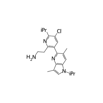 Cc1cc2c(nc1-c1cc(Cl)c(C(C)C)nc1CCN)c(C)cn2C(C)C